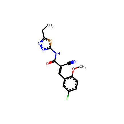 CCc1nnc(NC(=O)/C(C#N)=C/c2cc(F)ccc2OC)s1